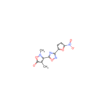 Cc1c(-c2nc(-c3ccc([N+](=O)[O-])o3)no2)n(C)oc1=O